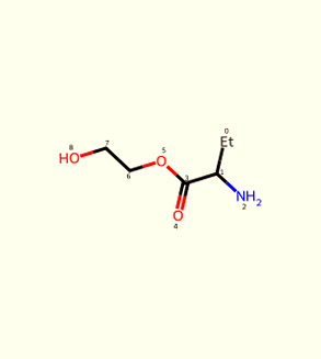 CCC(N)C(=O)OCCO